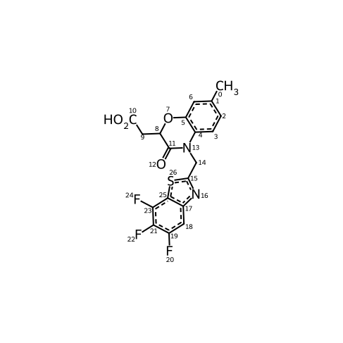 Cc1ccc2c(c1)OC(CC(=O)O)C(=O)N2Cc1nc2cc(F)c(F)c(F)c2s1